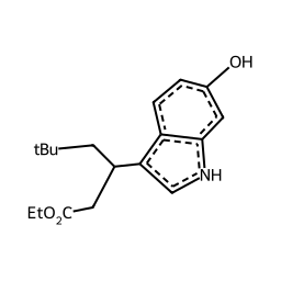 CCOC(=O)CC(CC(C)(C)C)c1c[nH]c2cc(O)ccc12